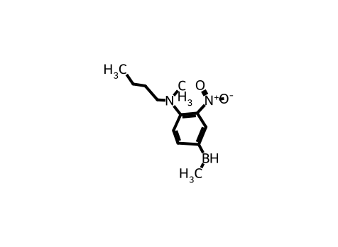 CBc1ccc(N(C)CCCC)c([N+](=O)[O-])c1